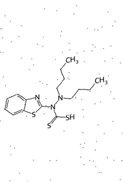 CCCCN(CCCC)N(C(=S)S)c1nc2ccccc2s1